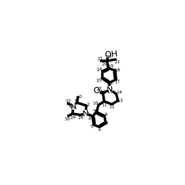 CC1CN(c2ccccc2CC2CCCN(c3ccc(C(C)(C)O)cc3)C2=O)CC(C)N1C